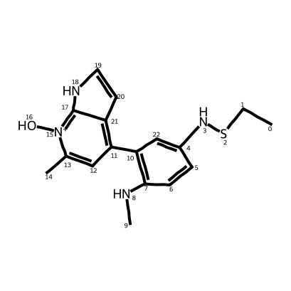 CCSNc1ccc(NC)c(-c2cc(C)[n+](O)c3[nH]ccc23)c1